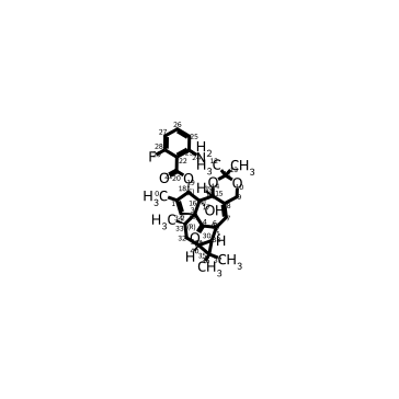 CC1=C[C@]23C(=O)[C@@H](C=C4COC(C)(C)O[C@H]4[C@]2(O)[C@H]1OC(=O)c1c(N)cccc1F)C1[C@@H](C[C@H]3C)C1(C)C